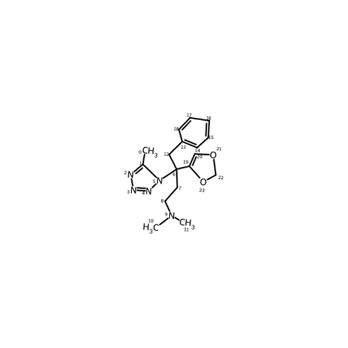 Cc1nnnn1C(CCN(C)C)(Cc1ccccc1)C1=COCO1